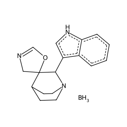 B.C1=NCC2(O1)C1CCN(CC1)C2c1c[nH]c2ccccc12